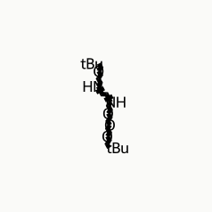 CC(C)(C)CCOCCOCCOCCNC(C)(C)CCC(C)(C)NCCCOCC(C)(C)C